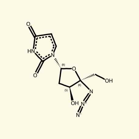 [N-]=[N+]=N[C@]1(CO)O[C@@H](n2ccc(=O)[nH]c2=O)C[C@@H]1O